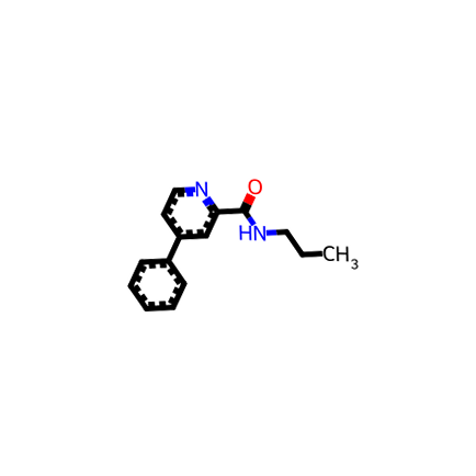 CCCNC(=O)c1cc(-c2ccccc2)ccn1